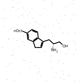 CCCCCCCCc1ccc2c(c1)CC=C2C[C@@H](N)CO